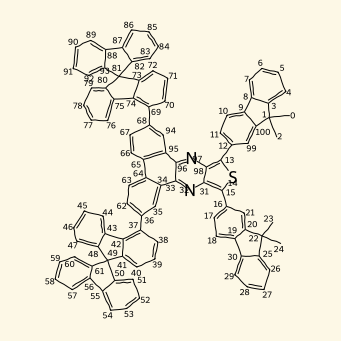 CC1(C)c2ccccc2-c2ccc(-c3sc(-c4ccc5c(c4)C(C)(C)c4ccccc4-5)c4nc5c6cc(-c7cccc8c7-c7ccccc7C87c8ccccc8-c8ccccc87)ccc6c6ccc(-c7cccc8c7-c7ccccc7C87c8ccccc8-c8ccccc87)cc6c5nc34)cc21